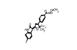 CONC(=O)c1ccc(C2=C/C(=C3\C(=O)Nc4cc(F)ccc43)OC2(C)C)cc1